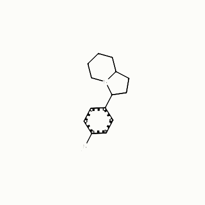 Nc1ccc(C2CCC3CCCCN32)cc1